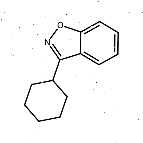 c1ccc2c(C3CCCCC3)noc2c1